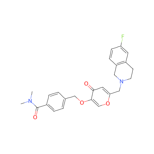 CN(C)C(=O)c1ccc(COc2coc(CN3CCc4cc(F)ccc4C3)cc2=O)cc1